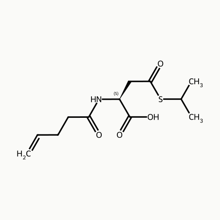 C=CCCC(=O)N[C@@H](CC(=O)SC(C)C)C(=O)O